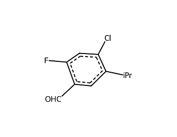 CC(C)c1cc(C=O)c(F)cc1Cl